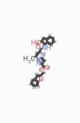 Cc1cc(C(=O)N[C@@H]2c3ccccc3C[C@@H]2O)nc2cc(C(=O)OCc3cc4ccccc4o3)nn12